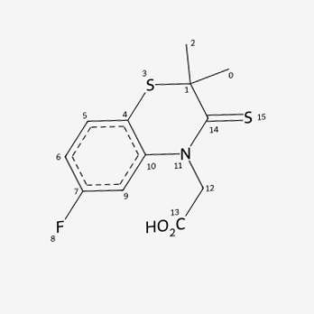 CC1(C)Sc2ccc(F)cc2N(CC(=O)O)C1=S